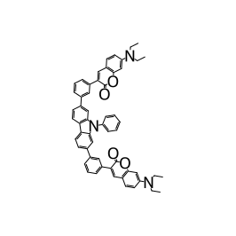 CCN(CC)c1ccc2cc(-c3cccc(-c4ccc5c6ccc(-c7cccc(-c8cc9ccc(N(CC)CC)cc9oc8=O)c7)cc6n(-c6ccccc6)c5c4)c3)c(=O)oc2c1